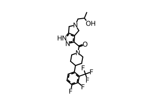 CC(O)CN1Cc2[nH]nc(C(=O)N3CCC(c4ccc(F)c(F)c4C(F)(F)F)CC3)c2C1